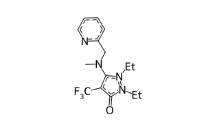 CCn1c(N(C)Cc2ccccn2)c(C(F)(F)F)c(=O)n1CC